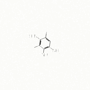 Cc1cc(N)c(N)c(C)c1N